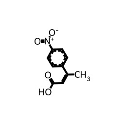 C/C(=C/C(=O)O)c1ccc([N+](=O)[O-])cc1